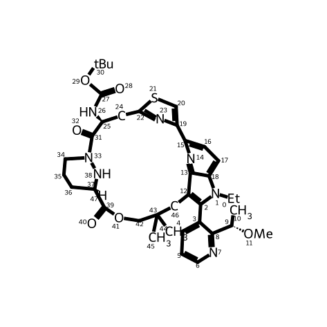 CCn1c(-c2cccnc2[C@H](C)OC)c2c3nc(ccc31)-c1csc(n1)C[C@H](NC(=O)OC(C)(C)C)C(=O)N1CCC[C@H](N1)C(=O)OCC(C)(C)C2